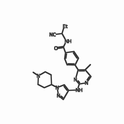 CCC(C#N)NC(=O)c1ccc(-c2nc(Nc3cnn(C4CCN(C)CC4)c3)ncc2C)cc1